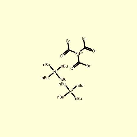 CCCC[N+](CCCC)(CCCC)CCCC.CCCC[N+](CCCC)(CCCC)CCCC.O=[C](Br)[Pd-2]([C](=O)Br)[C](=O)Br